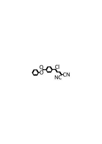 N#CC(C#N)=CC=C(Cl)c1ccc(C(=O)Oc2ccccc2)cc1